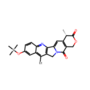 CCc1c2c(nc3ccc(O[Si](C)(C)C)cc13)-c1cc3c(c(=O)n1C2)COC(=O)[C@H]3C